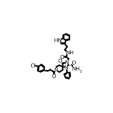 NC(=O)[C@H]1N(CC(=O)NCCc2c[nH]c3ccccc23)C(=O)C2(CCN(C(=O)[CH]Cc3ccc(Cl)cc3)CC2)N1c1ccccc1